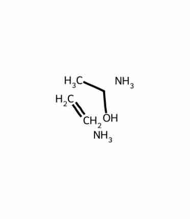 C=C.CCO.N.N